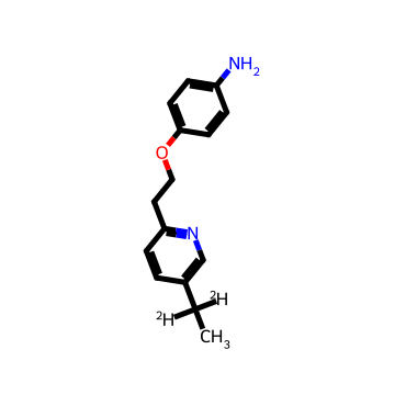 [2H]C([2H])(C)c1ccc(CCOc2ccc(N)cc2)nc1